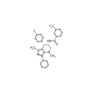 Cc1nn(-c2ccccc2)c2c1[C@H](c1ccc(F)cc1)[C@H](NC(=O)c1cccc(C(F)(F)F)c1)CN2C